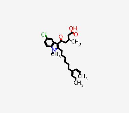 C/C=C\C(=C/CC)CCCCCCc1c(C(=O)C[C@@H](C)CC(=O)O)c2cc(Cl)ccc2n1C